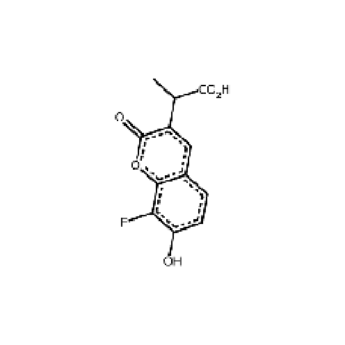 CC(C(=O)O)c1cc2ccc(O)c(F)c2oc1=O